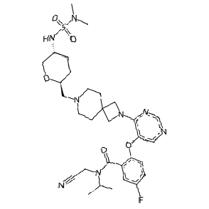 CC(C)N(CC#N)C(=O)c1cc(F)ccc1Oc1cncnc1N1CC2(CCN(C[C@@H]3CC[C@@H](NS(=O)(=O)N(C)C)CO3)CC2)C1